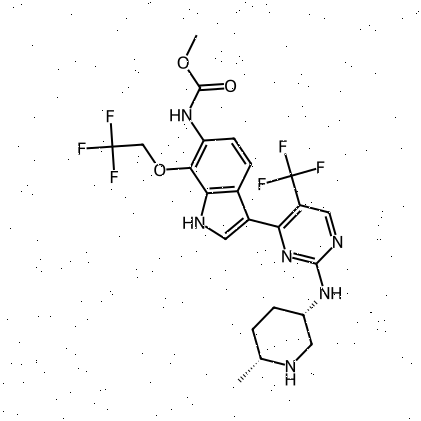 COC(=O)Nc1ccc2c(-c3nc(N[C@H]4CC[C@@H](C)NC4)ncc3C(F)(F)F)c[nH]c2c1OCC(F)(F)F